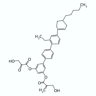 C=C(CO)C(=O)Oc1cc(OC(=O)C(=O)CO)cc(-c2ccc(-c3ccc(C4=CCC(CCCCC)CC4)cc3CC)cc2)c1